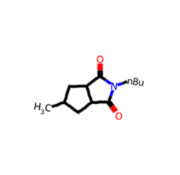 CCCCN1C(=O)C2CC(C)CC2C1=O